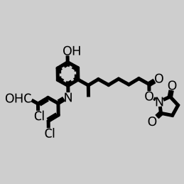 CC(CCCCCC(=O)ON1C(=O)CCC1=O)c1cc(O)ccc1N=C(C=CCl)C=C(Cl)C=O